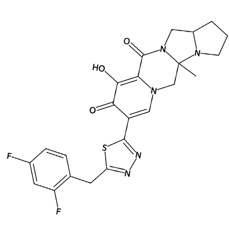 CC12Cn3cc(-c4nnc(Cc5ccc(F)cc5F)s4)c(=O)c(O)c3C(=O)N1CC1CCCN12